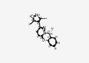 Cc1noc(C)c1-c1ccc(=O)n([C@H](C)c2ccccc2)n1